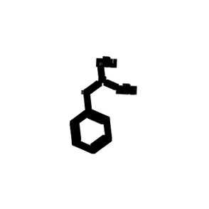 CCCCP([CH]c1ccccc1)CCCC